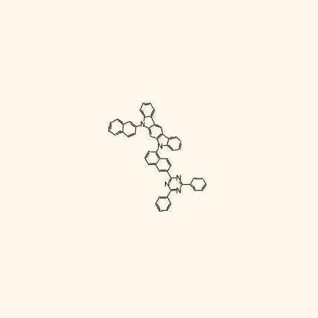 c1ccc(-c2nc(-c3ccccc3)nc(-c3ccc4c(-n5c6ccccc6c6cc7c8ccccc8n(-c8ccc9ccccc9c8)c7cc65)cccc4c3)n2)cc1